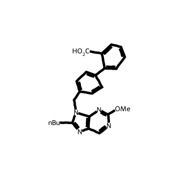 CCCCc1nc2cnc(OC)nc2n1Cc1ccc(-c2ccccc2C(=O)O)cc1